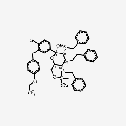 CO[C@@]1(c2ccc(Cl)c(Cc3ccc(OCC(F)(F)F)cc3)c2)O[C@H](CO[Si](C)(C)C(C)(C)C)[C@@H](CCc2ccccc2)[C@H](CCc2ccccc2)[C@H]1CCc1ccccc1